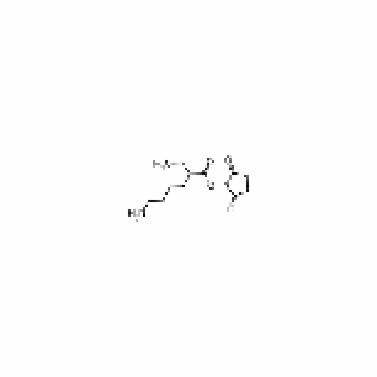 CCC(CCCCN)C(=O)ON1C(=O)CCC1=O